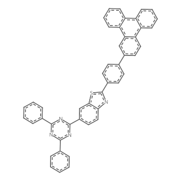 c1ccc(-c2nc(-c3ccccc3)nc(-c3ccc4nc(-c5ccc(-c6ccc7c8ccccc8c8ccccc8c7c6)cc5)sc4c3)n2)cc1